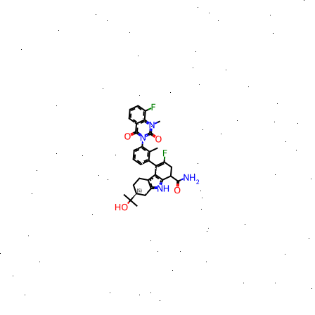 Cc1c(C2=C(F)CC(C(N)=O)c3[nH]c4c(c32)CC[C@H](C(C)(C)O)C4)cccc1-n1c(=O)c2cccc(F)c2n(C)c1=O